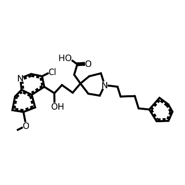 COc1ccc2ncc(Cl)c(C(O)CCC3(CC(=O)O)CCN(CCCCc4ccccc4)CC3)c2c1